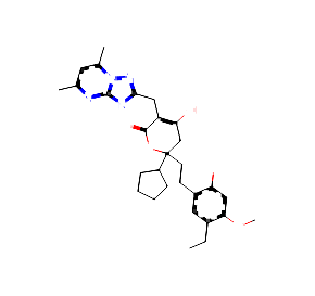 CCc1cc(CCC2(C3CCCC3)CC(O)=C(Cc3nc4nc(C)cc(C)n4n3)C(=O)O2)c(O)cc1OC